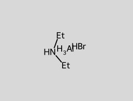 Br.CCNCC.[AlH3]